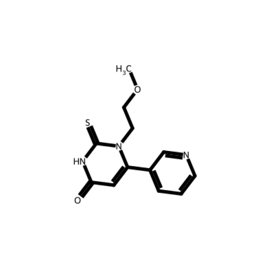 COCCn1c(-c2cccnc2)cc(=O)[nH]c1=S